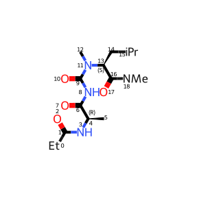 CCC(=O)N[C@H](C)C(=O)NC(=O)N(C)[C@@H](CC(C)C)C(=O)NC